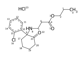 CCCOC(=O)CCNC1(c2ccccc2Cl)CCCCC1=O.Cl